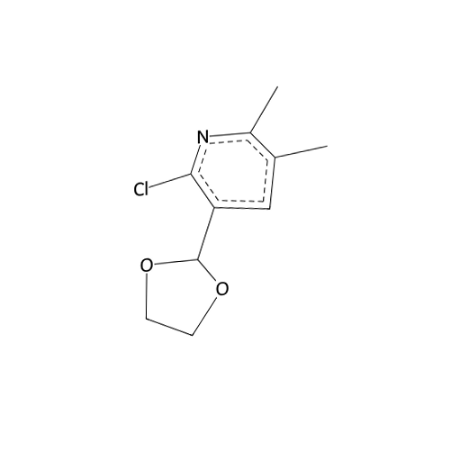 Cc1cc(C2OCCO2)c(Cl)nc1C